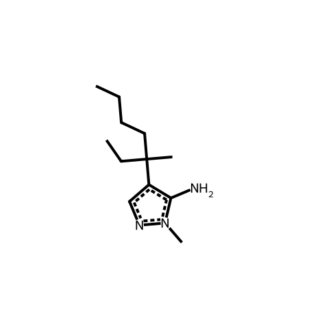 CCCCC(C)(CC)c1cnn(C)c1N